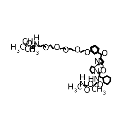 CNC(=O)OC(C)C(=O)NC(C(=O)N1CCC[C@H]1c1nc(C(=O)c2cccc(OCCOCCOCCOCCOCCNC(=O)OC(C)(C)C)c2)cs1)C1CCCCC1